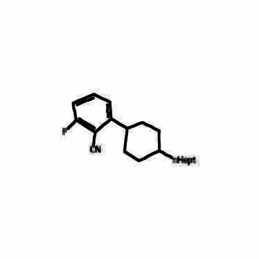 CCCCCCCC1CCC(c2cccc(F)c2C#N)CC1